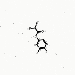 O=C(Oc1ccc(F)c(F)c1)C(F)F